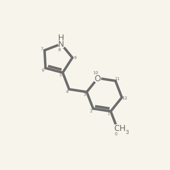 CC1=CC(CC2=CCNC2)OCC1